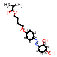 C=C(C)C(=O)OCCCCOc1ccc(N=Nc2ccc(O)cc2O)cc1